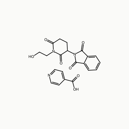 O=C(O)c1ccncc1.O=C1CCC(N2C(=O)c3ccccc3C2=O)C(=O)N1CCO